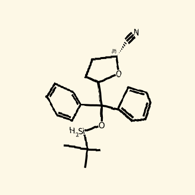 CC(C)(C)[SiH2]OC(c1ccccc1)(c1ccccc1)C1CC[C@H](C#N)O1